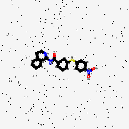 O=C(Nc1nccc2ccccc12)c1cccc(Sc2ccc([N+](=O)[O-])cc2)c1